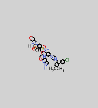 CC1(C)CCC(CN2CCN(c3ccc(C(=O)NS(=O)(=O)c4ccc(NCC5CCOCC5)c(P(C)(C)=O)c4)c(N4CCCOc5nc6[nH]ccc6cc54)c3)CC2)=C(c2ccc(Cl)cc2)C1